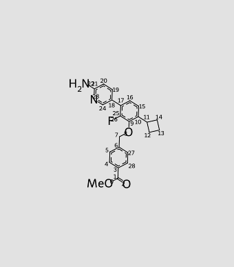 COC(=O)c1ccc(COc2c(C3CCC3)ccc(-c3ccc(N)nc3)c2F)cc1